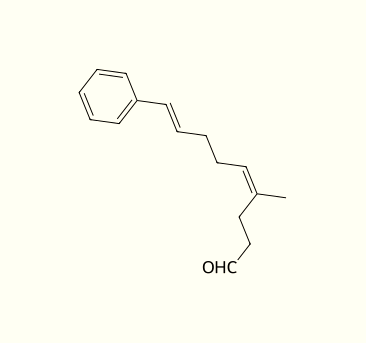 CC(=CCCC=Cc1ccccc1)CCC=O